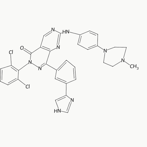 CN1CCN(c2ccc(Nc3ncc4c(=O)n(-c5c(Cl)cccc5Cl)nc(-c5cccc(-c6c[nH]cn6)c5)c4n3)cc2)CC1